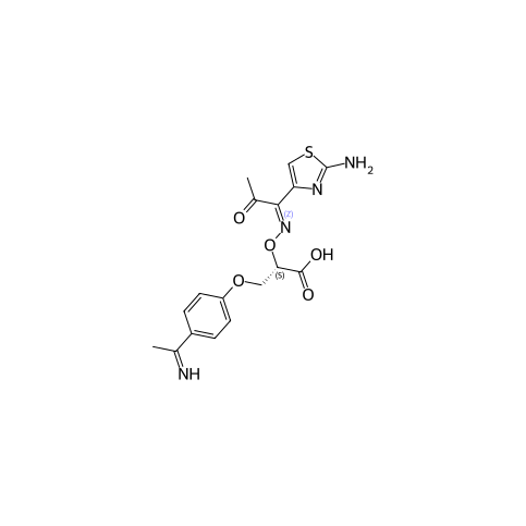 CC(=N)c1ccc(OC[C@H](O/N=C(\C(C)=O)c2csc(N)n2)C(=O)O)cc1